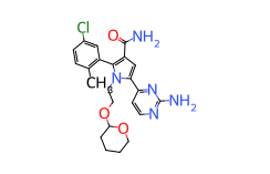 Cc1ccc(Cl)cc1-c1c(C(N)=O)cc(-c2ccnc(N)n2)n1CCOC1CCCCO1